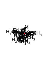 CSc1cc(C)c2c(ccn2S(=O)(=O)c2ccc(C)cc2)c1C(C)(N[S+]([O-])C(C)(C)C)c1nc2cc(C#N)ccc2n1COCC[Si](C)(C)C